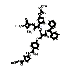 Cc1sc(NC(=O)OC(C)(C)C)nc1/C(=N/OC(COc1ccc(C(=N)N[C@@H]2CCN(C(=O)OC(C)(C)C)C2)cc1)C(=O)OC(c1ccccc1)c1ccccc1)C(=O)N[C@@H]1C(=O)N(S(=O)(=O)O)[C@H]1C